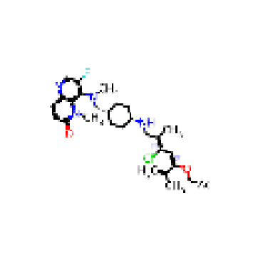 C=C(C)/C(=C\C(Cl)=C(/C)CN[C@H]1CC[C@H](CN(C)c2c(F)cnc3ccc(=O)n(C)c23)CC1)OCC(C)=O